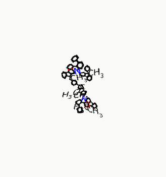 CC1(C)c2ccccc2-c2ccc(N(c3ccc4c(c3)C(C)(C)c3cc(-c5ccc(CC6(C)c7ccccc7-c7ccc(N(c8ccc9c(c8)C(C)(c8ccccc8)c8ccccc8-9)c8cccc(-c9ccccc9)c8-c8ccccc8)cc76)cc5)ccc3-4)c3cccc(-c4ccccc4)c3-c3ccccc3)cc21